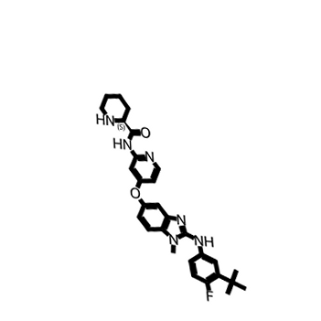 Cn1c(Nc2ccc(F)c(C(C)(C)C)c2)nc2cc(Oc3ccnc(NC(=O)[C@@H]4CCCCN4)c3)ccc21